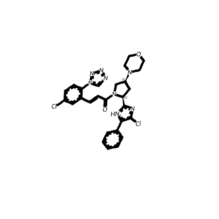 O=C(C=Cc1cc(Cl)ccc1-n1cnnn1)N1C[C@@H](N2CCOCC2)C[C@H]1c1nc(Cl)c(-c2ccccc2)[nH]1